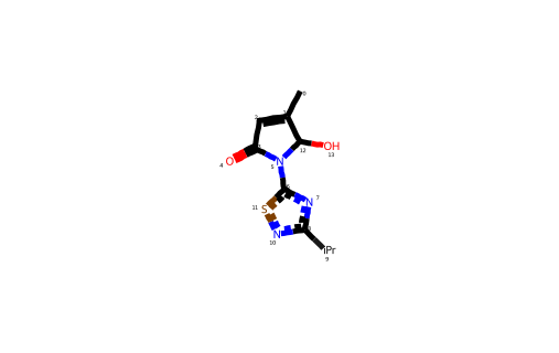 CC1=CC(=O)N(c2nc(C(C)C)ns2)C1O